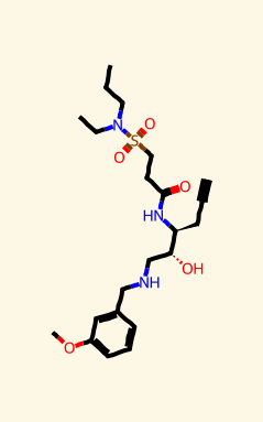 C#CC[C@H](NC(=O)CCS(=O)(=O)N(CC)CCC)[C@H](O)CNCc1cccc(OC)c1